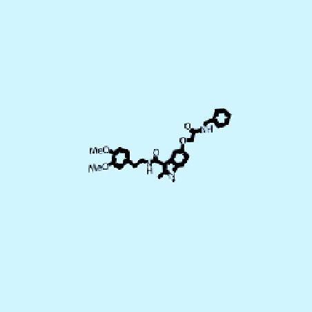 COc1ccc(CCNC(=O)c2c(C)n(C)c3ccc(OCC(=O)NCc4ccccc4)cc23)cc1OC